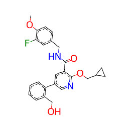 COc1ccc(CNC(=O)c2cc(-c3ccccc3CO)cnc2OCC2CC2)cc1F